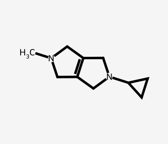 CN1CC2=C(C1)CN(C1CC1)C2